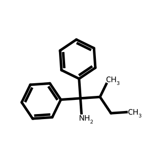 CCC(C)C(N)(c1ccccc1)c1ccccc1